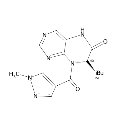 CC[C@H](C)[C@H]1C(=O)Nc2cncnc2N1C(=O)c1cnn(C)c1